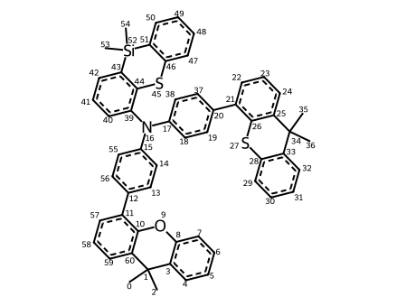 CC1(C)c2ccccc2Oc2c(-c3ccc(N(c4ccc(-c5cccc6c5Sc5ccccc5C6(C)C)cc4)c4cccc5c4Sc4ccccc4[Si]5(C)C)cc3)cccc21